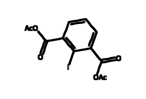 CC(=O)OC(=O)c1cccc(C(=O)OC(C)=O)c1I